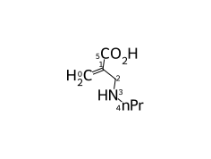 C=C(CNCCC)C(=O)O